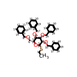 CCS[C@H]1O[C@H](COCc2ccccc2)[C@@H](OCc2ccccc2)[C@H](OCc2ccccc2)[C@@H]1OCc1ccccc1